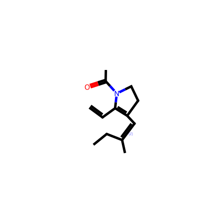 C=CC1=C(/C=C(/C)CC)CCN1C(C)=O